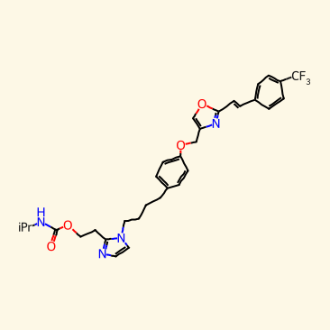 CC(C)NC(=O)OCCc1nccn1CCCCc1ccc(OCc2coc(C=Cc3ccc(C(F)(F)F)cc3)n2)cc1